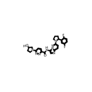 O=C(Nc1cnc2ccc(N3CCCC3c3cc(F)ccc3F)nn12)c1ccc(N2CCC(O)C2)nn1